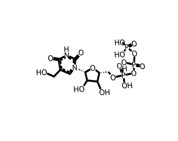 O=c1[nH]c(=O)n([C@@H]2O[C@H](COP(=O)(O)OP(=O)(O)OP(=O)(O)O)C(O)C2O)cc1CO